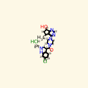 CC(C)NCC(C(=O)N1CCN(c2ncnc3c2C(C)C[C@H]3O)CC1)c1ccc(Cl)cc1.Cl